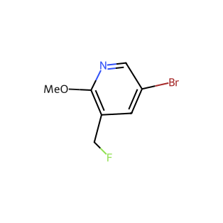 COc1ncc(Br)cc1CF